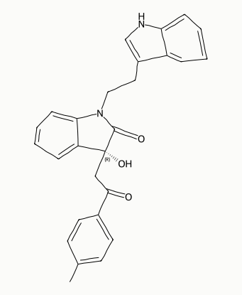 Cc1ccc(C(=O)C[C@]2(O)C(=O)N(CCc3c[nH]c4ccccc34)c3ccccc32)cc1